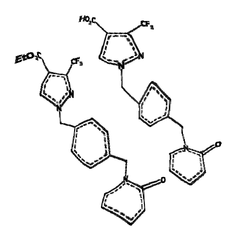 CCOC(=O)c1cn(Cc2ccc(Cn3ccccc3=O)cc2)nc1C(F)(F)F.O=C(O)c1cn(Cc2ccc(Cn3ccccc3=O)cc2)nc1C(F)(F)F